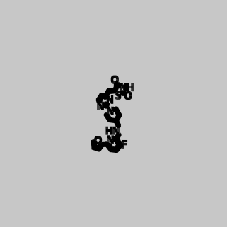 O=C1NC(=O)C(=Cc2ccnc(N3CCC(CNCc4nc(-c5ccco5)ccc4F)CC3)n2)S1